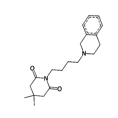 CC1(C)CC(=O)N(CCCCN2CCc3ccccc3C2)C(=O)C1